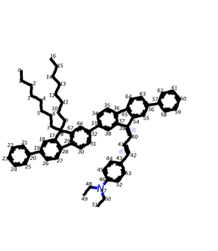 CCCCCCCCC1(CCCCCCCC)c2cc(-c3ccccc3)ccc2-c2ccc(-c3ccc4c(c3)/C(=C\C=C\c3ccc(N(CC)CC)cc3)c3cc(-c5ccccc5)ccc3-4)cc21